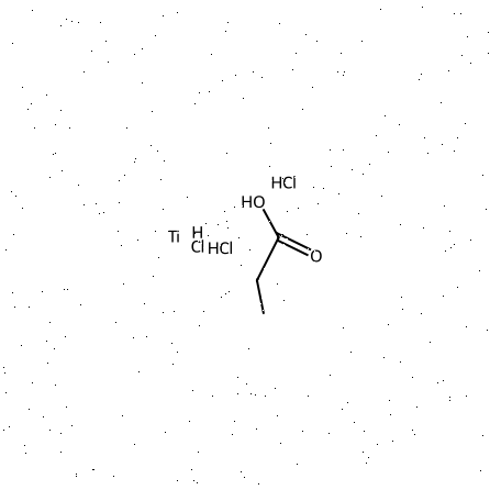 CCC(=O)O.Cl.Cl.Cl.[Ti]